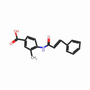 Cc1cc(C(=O)O)ccc1NC(=O)C=Cc1ccccc1